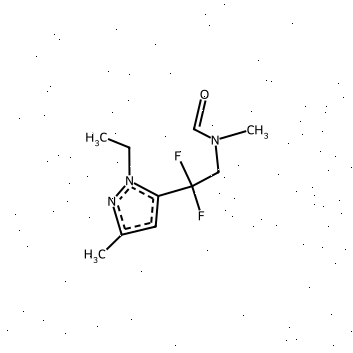 CCn1nc(C)cc1C(F)(F)CN(C)C=O